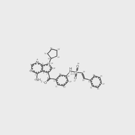 Nc1ncnc2c1c(C(=O)c1cccc(NS(=O)(=O)C=Cc3ccccc3)c1)cn2C1CCCC1